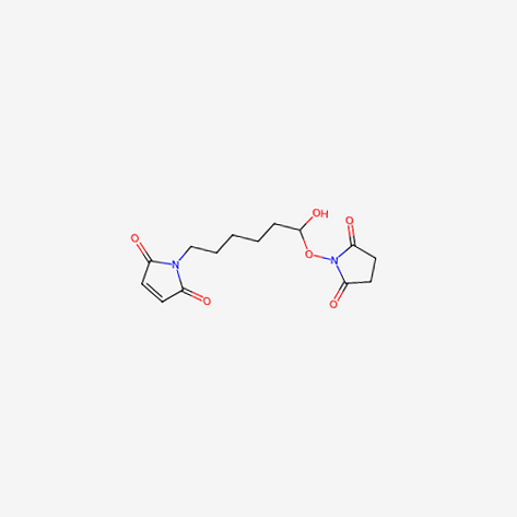 O=C1C=CC(=O)N1CCCCCC(O)ON1C(=O)CCC1=O